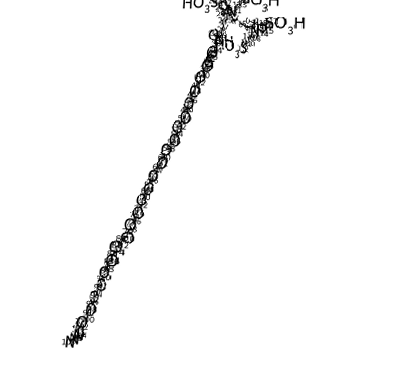 CC1(C)\C(=C/C=C/C=C/C2N(CCCCS(=O)(=O)O)c3ccc(S(=O)(=O)O)cc3C2(C)CCCCCC(=O)NCCOCCOCCOCCOCCOCCOCCOCCOCCOCCOCCOCCOCCOCCOCCOCCOCCOCCOCCOCCOCCOCCOCCOCCN=[N+]=[N-])N(CCCCS(=O)(=O)O)c2ccc(S(=O)(=O)O)cc21